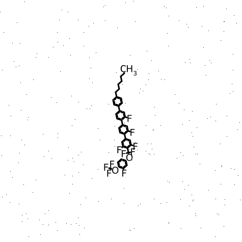 CCCCCCCc1ccc(-c2ccc(-c3ccc(-c4cc(F)c(C(F)(F)Oc5ccc(OC(F)(F)F)c(F)c5)c(F)c4)c(F)c3)c(F)c2)cc1